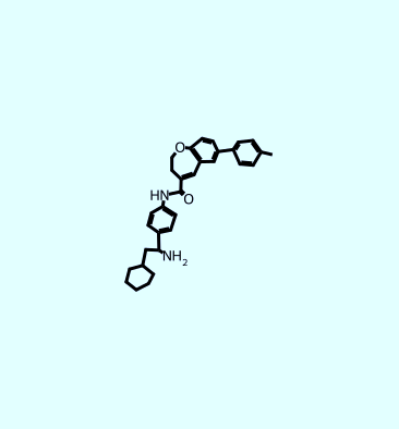 Cc1ccc(-c2ccc3c(c2)C=C(C(=O)Nc2ccc(C(N)CC4CCCCC4)cc2)CCO3)cc1